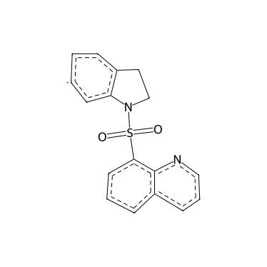 O=S(=O)(c1cccc2cccnc12)N1CCc2cc[c]cc21